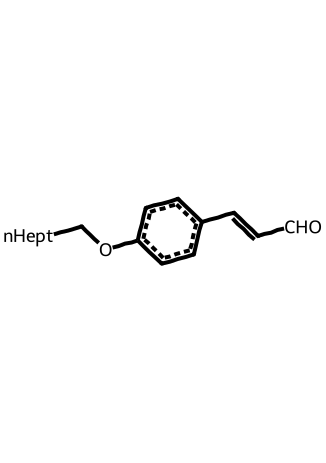 CCCCCCCCOc1ccc(C=CC=O)cc1